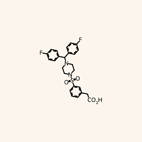 O=C(O)Cc1cccc(S(=O)(=O)N2CCN(C(c3ccc(F)cc3)c3ccc(F)cc3)CC2)c1